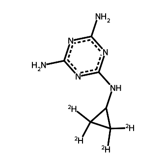 [2H]C1([2H])C(Nc2nc(N)nc(N)n2)C1([2H])[2H]